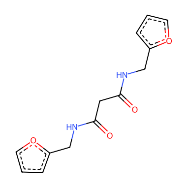 O=C(CC(=O)NCc1ccco1)NCc1ccco1